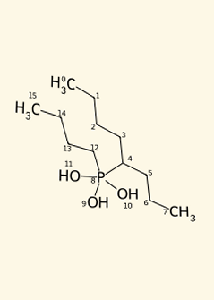 CCCCC(CCC)P(O)(O)(O)CCCC